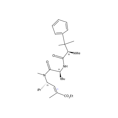 CCOC(=O)/C(C)=C/[C@H](C(C)C)N(C)C(=O)[C@@H](NC(=O)[C@H](NC)C(C)(C)c1ccccc1)C(C)(C)C